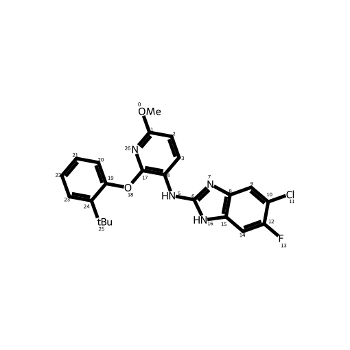 COc1ccc(Nc2nc3cc(Cl)c(F)cc3[nH]2)c(Oc2ccccc2C(C)(C)C)n1